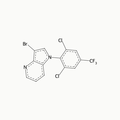 FC(F)(F)c1cc(Cl)c(-n2cc(Br)c3ncccc32)c(Cl)c1